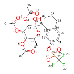 CC(=O)O[C@@H]1[C@H](OC(C)=O)[C@H](C)O[C@](O)([C@@H]2CCCc3ccc(OS(=O)(=O)C(F)(F)F)cc32)[C@H]1OC(C)=O